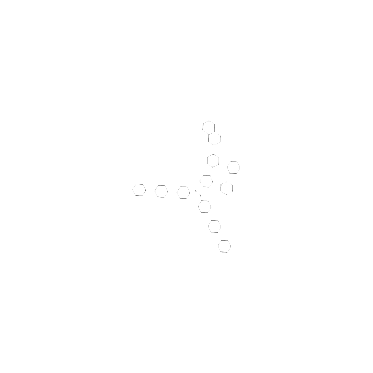 c1ccc(-c2ccc(-c3ccc(N(c4ccc(-c5ccc(-c6ccccc6)cc5)cc4)c4ccc5c(c4)-c4ccccc4-c4ccccc4-c4cc(-c6ccc7ccccc7c6)ccc4-5)cc3)cc2)cc1